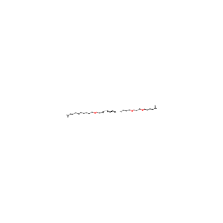 CC(C)CCCCCCCCCCCCCOC(=O)C=CC(=O)OCCCCCCCCCCCCCC(C)C